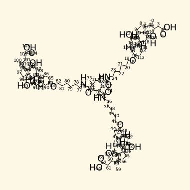 C[C@H](CCC(=O)O)[C@H]1CCC2[C@@H]3[C@H](O)C[C@@H]4C[C@@H](OCCCCCCNC(=O)C5(C)CC(C)(C(=O)NCCCCCCO[C@H]6CC[C@@]7(C)[C@@H](C6)C[C@@H](O)[C@H]6C8CC[C@H]([C@H](C)CCC(=O)O)[C@@]8(C)[C@@H](O)C[C@@H]67)CC(C)(C(=O)NCCCCCCO[C@H]6CC[C@@]7(C)[C@@H](C6)C[C@@H](O)[C@H]6C8CC[C@H]([C@H](C)CCC(=O)O)[C@@]8(C)[C@@H](O)C[C@@H]67)C5)CC[C@]4(C)[C@H]3C[C@H](O)[C@@]21C